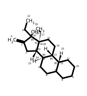 C=C1C[C@H]2[C@@H]3CCC4CCCC[C@H]4[C@H]3CC[C@]2(CC)[C@@]1(O)CC